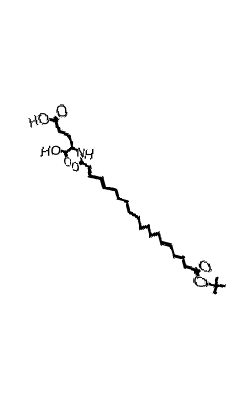 CC(C)(C)OC(=O)CCCCCCCCCCCCCCCCCCC(=O)NC(CCC(=O)O)C(=O)O